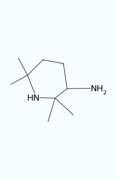 CC1(C)CCC(N)C(C)(C)N1